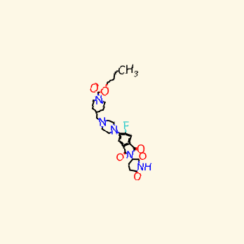 CCCCOC(=O)N1CCC(CN2CCN(c3cc4c(cc3F)C(=O)N(C3CCC(=O)NC3=O)C4=O)CC2)CC1